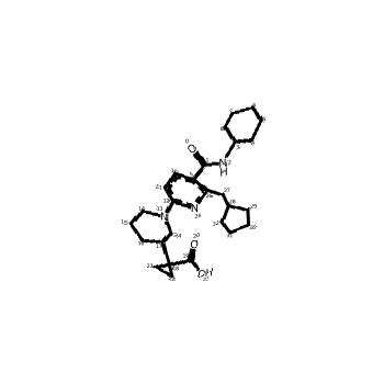 O=C(NC1CCCCC1)c1ccc(N2CCCC(C3(C(=O)O)CC3)C2)nc1CC1CCCC1